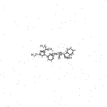 Cc1cc(-c2cccc(NC(=O)Nc3n[nH]c4ccccc34)n2)n(C(C)C)n1